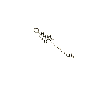 CCCCCCCCCCNC(=O)Nc1nc(-c2ccccc2)cs1